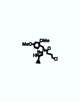 COc1ccc(CN(C(=O)CCCCl)c2cc(C3CC3)[nH]n2)c(OC)c1